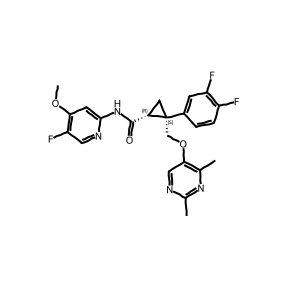 COc1cc(NC(=O)[C@@H]2C[C@@]2(COc2cnc(C)nc2C)c2ccc(F)c(F)c2)ncc1F